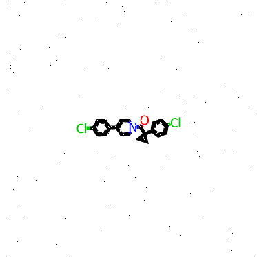 O=C(N1CC=C(c2ccc(Cl)cc2)CC1)C1(c2ccc(Cl)cc2)CC1